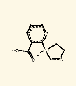 O=C(O)c1cccnc1[N+]1([O-])C=NCC1